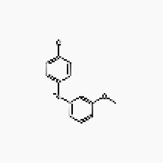 COc1cccc([Te]c2ccc(O)cc2)c1